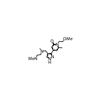 CNCCN(C)Cc1c[nH]nc1-c1cc(C)n(CCOC)c(=O)c1